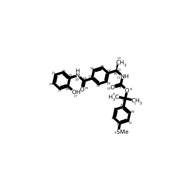 CSc1ccc(C(C)(C)OC(=O)N[C@H](C)c2ccc(C(=O)Nc3ccccc3O)cc2)cc1